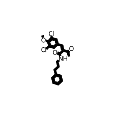 COc1c(Cl)cc(C=C(C(C)=O)C(=O)NCCCc2ccccc2)cc1Cl